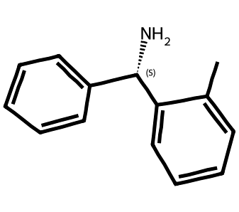 Cc1ccccc1[C@@H](N)c1ccccc1